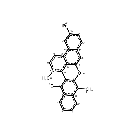 Cc1c2c(c(C)c3ccccc13)-c1c3c(cc4ccc(C(C)C)cc4c3cc[n+]1C)O2